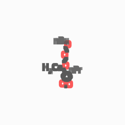 CCCCOCCOCCOCc1cc2c(cc1CCC)OCO2.[CaH2]